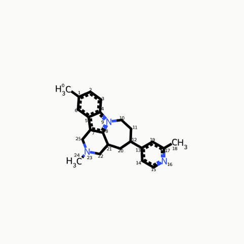 Cc1ccc2c(c1)c1c3n2CCC(c2ccnc(C)c2)CC3CN(C)C1